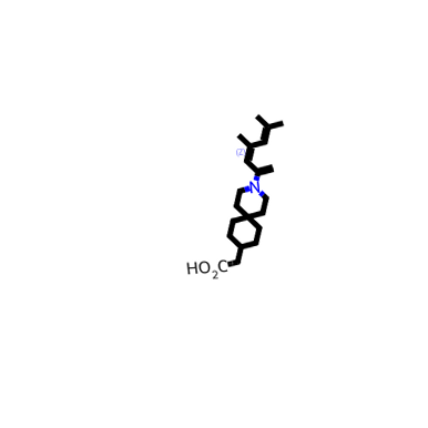 C=C(/C=C(/C)C=C(C)C)N1CCC2(CCC(CC(=O)O)CC2)CC1